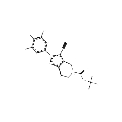 C#Cc1c2c(nn1-c1cc(C)c(F)c(C)c1)CCN(C(=O)OC(C)(C)C)[C@H]2C